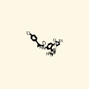 CC[C@@H]1CCN(c2ccc(NC(=O)C3CC3c3ccc(Cl)cc3)cc2-c2nnn[nH]2)C1=O